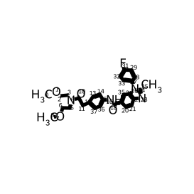 COCCN(CCOC)C(=O)Cc1ccc(NC(=O)c2ccc3nc(C)n(-c4ccc(F)cc4)c3c2)cc1